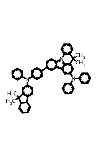 CC1(C)c2ccccc2-n2c3ccc(-c4ccc(N(c5ccccc5)c5ccc6c(c5)C(C)(C)C5C=CC=CC65)cc4)cc3c3cc(N(c4ccccc4)c4ccccc4)cc1c32